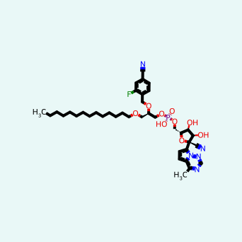 CCCCCCCCCCCCCCOC[C@H](COP(=O)(O)OC[C@H]1O[C@@](C#N)(c2ccc3c(C)ncnn23)[C@H](O)[C@@H]1O)OCc1ccc(C#N)cc1F